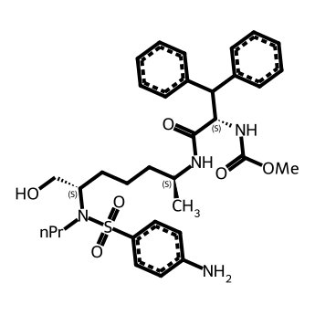 CCCN([C@H](CO)CCC[C@H](C)NC(=O)[C@@H](NC(=O)OC)C(c1ccccc1)c1ccccc1)S(=O)(=O)c1ccc(N)cc1